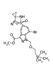 COC(=O)c1nn(COCC[Si](C)(C)C)c2c(Br)cc(S(=O)(=O)NC3(C#N)CC3)cc12